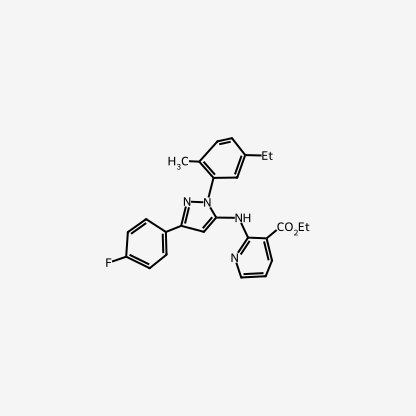 CCOC(=O)c1cccnc1Nc1cc(-c2ccc(F)cc2)nn1-c1cc(CC)ccc1C